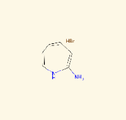 Br.NC1=CC=CC=CN1